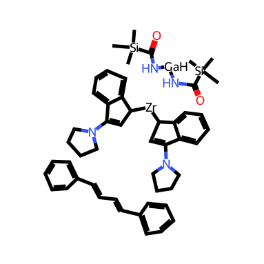 C(C=Cc1ccccc1)=Cc1ccccc1.C1=C(N2CCCC2)c2ccccc2[CH]1[Zr][CH]1C=C(N2CCCC2)c2ccccc21.C[Si](C)(C)C(=O)[NH][GaH][NH]C(=O)[Si](C)(C)C